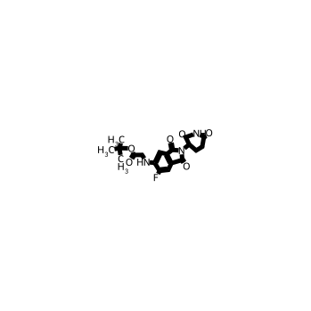 CC(C)(C)OC(=O)CNc1cc2c(cc1F)C(=O)N(C1CCC(=O)NC1=O)C2=O